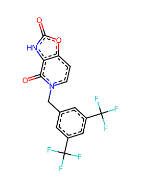 O=c1[nH]c2c(=O)n(Cc3cc(C(F)(F)F)cc(C(F)(F)F)c3)ccc2o1